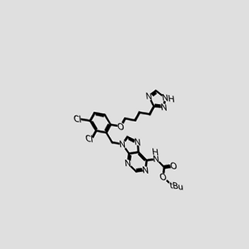 CC(C)(C)OC(=O)Nc1ncnc2c1ncn2Cc1c(OCCCCc2nc[nH]n2)ccc(Cl)c1Cl